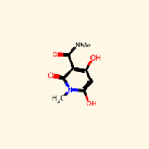 CNC(=O)c1c(O)cc(O)n(C)c1=O